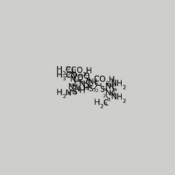 C=CCN1C(SCC2=C(C(=O)O)N3C(=O)C(NC(=O)/C(=N\OC(C)(C)C(=O)O)c4nsc(N)n4)[C@@H]3SC2)=NC(N)=CC1N